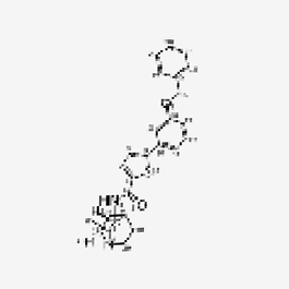 C[C@H]1[C@H](NC(=O)c2ccc(-c3cccc(OCc4ccccc4)c3)s2)C2CCN1CC2